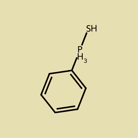 S[PH3]c1ccccc1